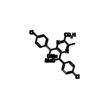 COC(c1ccc(Cl)cc1)c1nc(C)c(C(=O)O)nc1C(OC)c1ccc(Cl)cc1